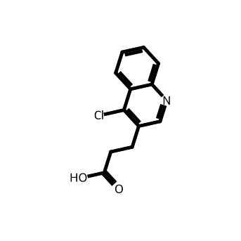 O=C(O)CCc1cnc2ccccc2c1Cl